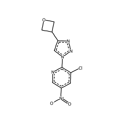 O=[N+]([O-])c1cnc(-n2cc(C3COC3)nn2)c(Cl)c1